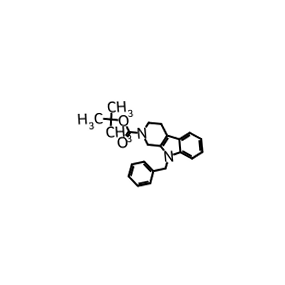 CC(C)(C)OC(=O)N1CCc2c(n(Cc3ccccc3)c3ccccc23)C1